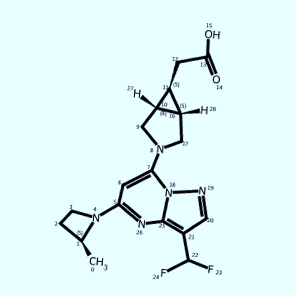 C[C@H]1CCN1c1cc(N2C[C@@H]3[C@@H](CC(=O)O)[C@@H]3C2)n2ncc(C(F)F)c2n1